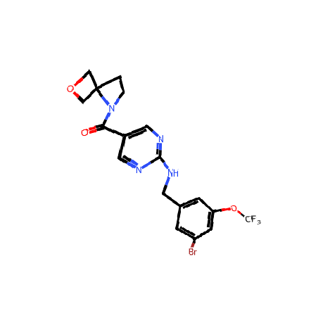 O=C(c1cnc(NCc2cc(Br)cc(OC(F)(F)F)c2)nc1)N1CCC12COC2